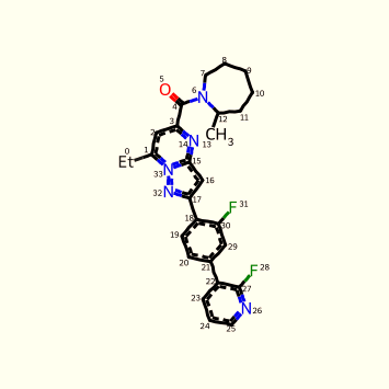 CCc1cc(C(=O)N2CCCCCC2C)nc2cc(-c3ccc(-c4cccnc4F)cc3F)nn12